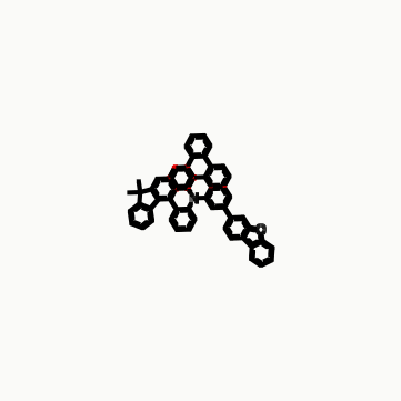 CC1(C)c2ccccc2-c2c(-c3ccccc3N(c3cccc(-c4ccc5c(c4)oc4ccccc45)c3)c3ccccc3-c3ccccc3-c3ccccc3-c3ccccc3)cccc21